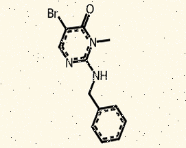 Cn1c(NCc2ccccc2)ncc(Br)c1=O